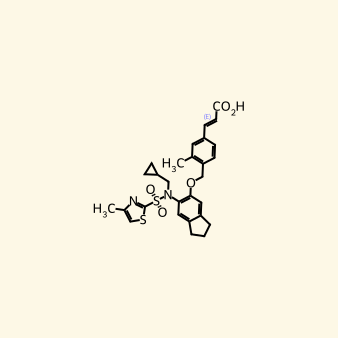 Cc1csc(S(=O)(=O)N(CC2CC2)c2cc3c(cc2OCc2ccc(/C=C/C(=O)O)cc2C)CCC3)n1